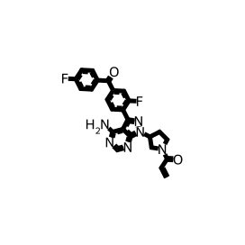 C=CC(=O)N1CCC(n2nc(-c3ccc(C(=O)c4ccc(F)cc4)cc3F)c3c(N)ncnc32)C1